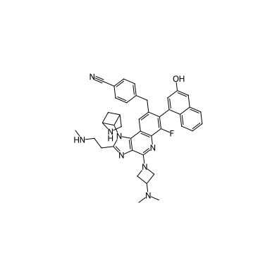 CNCCc1nc2c(N3CC(N(C)C)C3)nc3c(F)c(-c4cc(O)cc5ccccc45)c(Cc4ccc(C#N)cc4)cc3c2n1C1C2CNC1C2